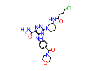 NC(=O)c1nnc(N2CCCC(NC(=O)CCCCl)C2)nc1Nc1ccc(C(=O)N2CCOCC2)cc1